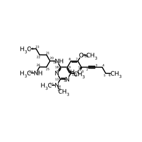 C=C(C#CCCC)/C(=C\c1c(C)nc(N(C)C)nc1NC(CCCC)CCNC)OC